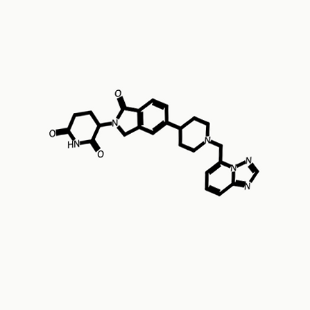 O=C1CCC(N2Cc3cc(C4CCN(Cc5cccc6ncnn56)CC4)ccc3C2=O)C(=O)N1